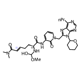 CCCc1ncnc2c1nc(Cn1cccc(NC(=O)[C@H](CC/C=C/C(=O)N(C)C)NC(O)OC)c1=O)n2C1CCCCO1